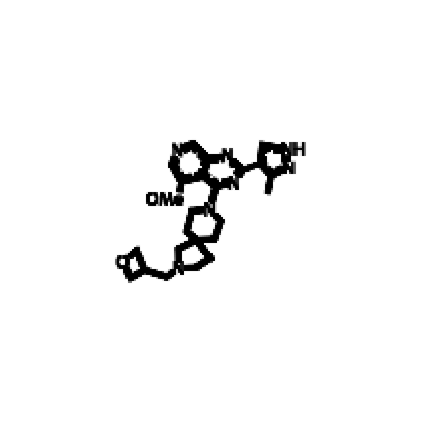 COc1cncc2nc(-c3c[nH]nc3C)nc(N3CCC4(CCN(CC5COC5)C4)CC3)c12